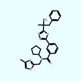 Cc1csc(CN(C(=O)c2cccc(-c3nnc(C(C)(N)Cc4ccccc4)o3)c2)C2CCCC2)n1